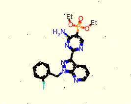 CCOP(=O)(OCC)c1cnc(-c2nn(Cc3ccccc3F)c3ncccc23)nc1N